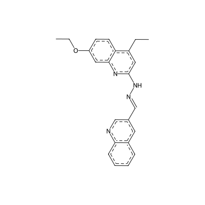 CCOc1ccc2c(CC)cc(NN=Cc3cnc4ccccc4c3)nc2c1